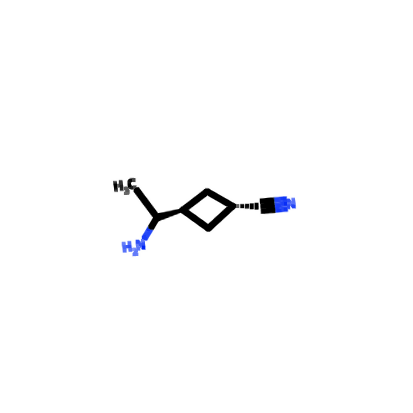 CC(N)[C@H]1C[C@H](C#N)C1